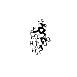 CCC(C)[C@H]1OC(=O)N(Cc2cc(C(F)(F)F)cc(C(F)(F)F)c2)[C@@H]1C